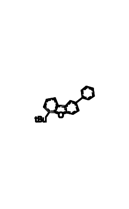 CC(C)(C)c1cccc2c1oc1ccc(-c3ccccc3)cc12